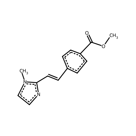 COC(=O)c1ccc(C=Cc2nccn2C)cc1